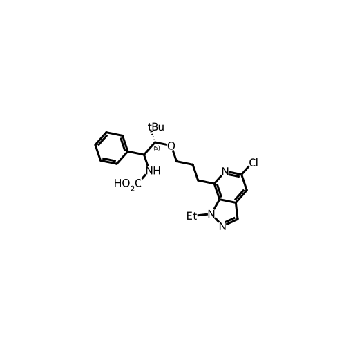 CCn1ncc2cc(Cl)nc(CCCO[C@H](C(NC(=O)O)c3ccccc3)C(C)(C)C)c21